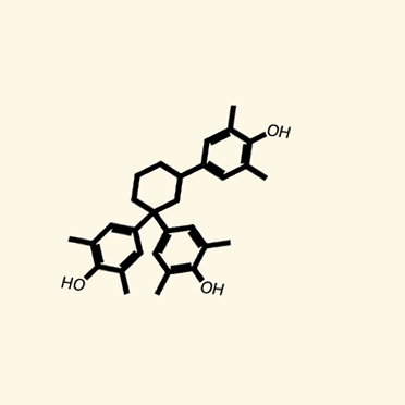 Cc1cc(C2CCCC(c3cc(C)c(O)c(C)c3)(c3cc(C)c(O)c(C)c3)C2)cc(C)c1O